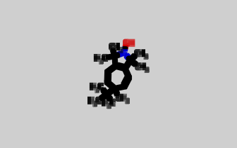 CC1(C)C2=C(C=CC(C)(C(C)(C)C)C=C2)C(C)(C)N1O